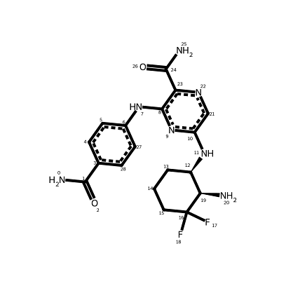 NC(=O)c1ccc(Nc2nc(N[C@@H]3CCCC(F)(F)[C@@H]3N)cnc2C(N)=O)cc1